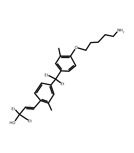 CCC(O)(/C=C/c1ccc(C(CC)(CC)c2ccc(OCCCCCN)c(C)c2)cc1C)CC